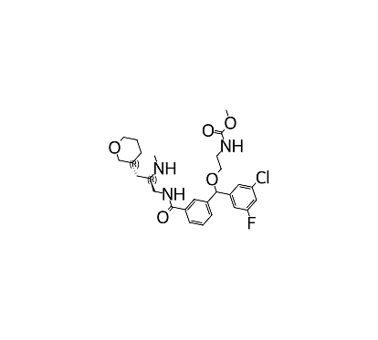 CN[C@@H](CNC(=O)c1cccc(C(OCCNC(=O)OC)c2cc(F)cc(Cl)c2)c1)C[C@H]1CCCOC1